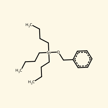 CCC[CH2][Sn]([CH2]CCC)([CH2]CCC)[O]Cc1ccccc1